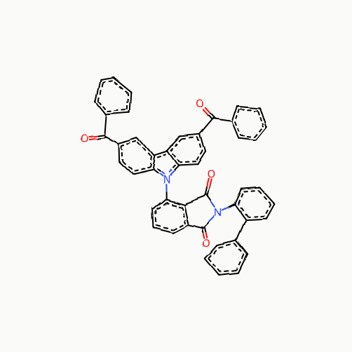 O=C(c1ccccc1)c1ccc2c(c1)c1cc(C(=O)c3ccccc3)ccc1n2-c1cccc2c1C(=O)N(c1ccccc1-c1ccccc1)C2=O